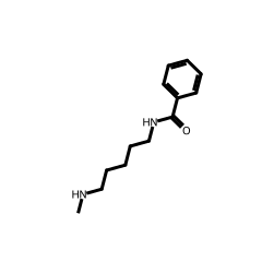 CNCCCCCNC(=O)c1ccccc1